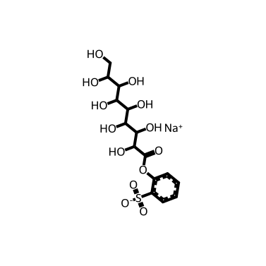 O=C(Oc1ccccc1S(=O)(=O)[O-])C(O)C(O)C(O)C(O)C(O)C(O)C(O)CO.[Na+]